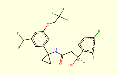 C[C@](O)(CC(=O)NC1(c2cc(OCC(F)(F)F)cc(C(F)F)c2)CC1)c1ccc(F)cc1F